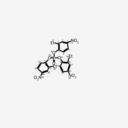 CCc1cc([N+](=O)[O-])ccc1OP(=O)(Oc1ccc([N+](=O)[O-])cc1CC)Oc1ccc([N+](=O)[O-])cc1CC